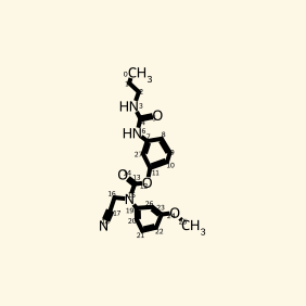 CCCNC(=O)Nc1cccc(OC(=O)N(CC#N)c2cccc(OC)c2)c1